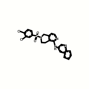 O=S(=O)(c1ccc(Cl)c(Cl)c1)N1CCc2c(ccnc2Nc2cnc3ccccc3c2)C1